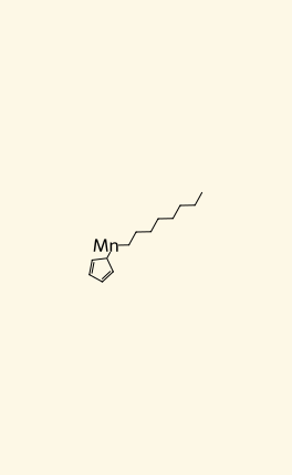 CCCCCCC[CH2][Mn][CH]1C=CC=C1